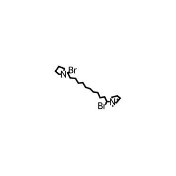 C[N+]1(C(Br)CCCCCCCCCCC(Br)[N+]2(C)CCCC2)CCCC1